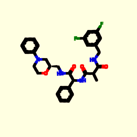 CC(C(=O)NCc1cc(F)cc(F)c1)C(=O)NC(C(=O)NC[C@H]1CN(c2ccccc2)CCO1)c1ccccc1